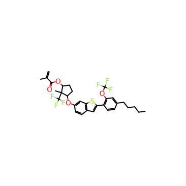 C=C(C)C(=O)OC1CCC(Oc2ccc3cc(-c4ccc(CCCCC)cc4OC(F)(F)F)sc3c2)C1(C)C(F)(F)F